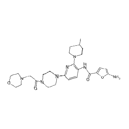 CC1CCN(c2nc(N3CCN(C(=O)CN4CCOCC4)CC3)ccc2NC(=O)c2ccc(N)o2)CC1